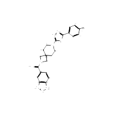 O=C(c1ccc2[nH]nnc2c1)N1CC2(CCN(c3nnc(-c4ccc(Cl)cc4)o3)CC2)C1